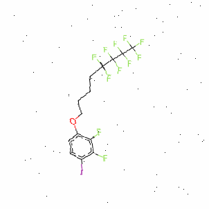 Fc1c(I)ccc(OCCCCC(F)(F)C(F)(F)C(F)(F)C(F)(F)F)c1F